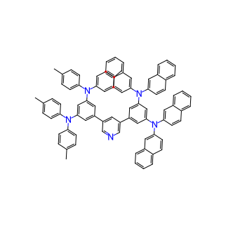 Cc1ccc(N(c2ccc(C)cc2)c2cc(-c3cncc(-c4cc(N(c5ccc6ccccc6c5)c5ccc6ccccc6c5)cc(N(c5ccc6ccccc6c5)c5ccc6ccccc6c5)c4)c3)cc(N(c3ccc(C)cc3)c3ccc(C)cc3)c2)cc1